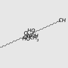 CCCCCCCCCCCCCCCCOC(=O)N(CC(O)C(O)CCCCCCCCCCCCCCCC)C(C)O